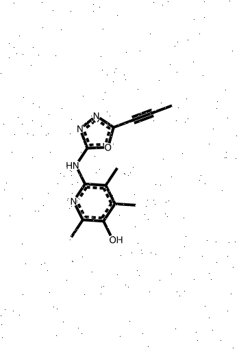 CC#Cc1nnc(Nc2nc(C)c(O)c(C)c2C)o1